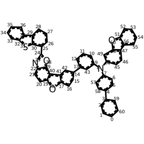 c1ccc(-c2ccc(N(c3cccc(-c4ccc5oc6ccc7nc(-c8cccc9c8sc8ccccc89)oc7c6c5c4)c3)c3ccc4c(c3)oc3ccccc34)cc2)cc1